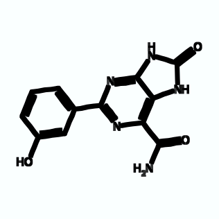 NC(=O)c1nc(-c2cccc(O)c2)nc2[nH]c(=O)[nH]c12